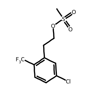 CS(=O)(=O)OCCc1cc(Cl)ccc1C(F)(F)F